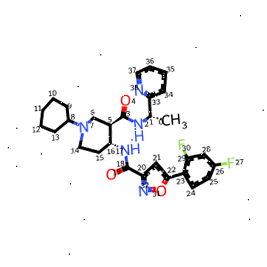 C[C@H](NC(=O)[C@@H]1CN(C2CCCCC2)CC[C@H]1NC(=O)c1cc(-c2ccc(F)cc2F)on1)c1ccccn1